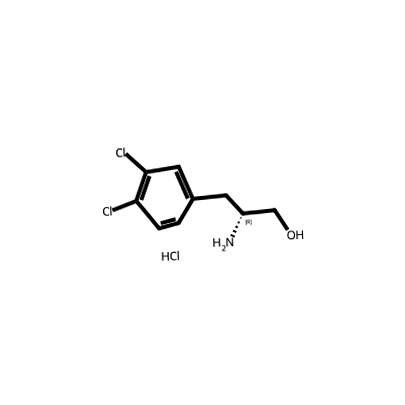 Cl.N[C@@H](CO)Cc1ccc(Cl)c(Cl)c1